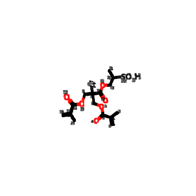 C=C(C)C(=O)OCC(CC)(COC(=O)C(=C)C)C(=O)OCC(C)S(=O)(=O)O